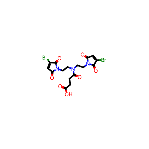 O=C(O)CCC(=O)N(CCN1C(=O)C=C(Br)C1=O)CCN1C(=O)C=C(Br)C1=O